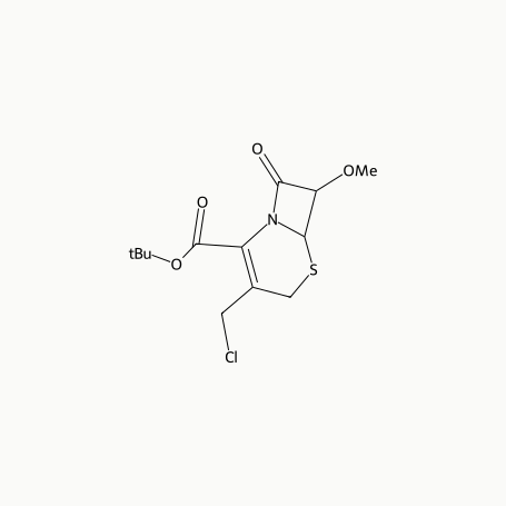 COC1C(=O)N2C(C(=O)OC(C)(C)C)=C(CCl)CSC12